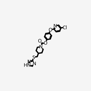 O=C(Oc1ccc(Oc2ccc(Cl)cn2)cc1)N1CCC(CSc2nc[nH]n2)CC1